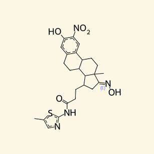 Cc1cnc(NC(=O)CCC2C/C(=N\O)C3(C)CCC4c5cc([N+](=O)[O-])c(O)cc5CCC4C23)s1